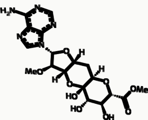 COC(=O)[C@H]1O[C@@H]2C[C@H]3O[C@@H](n4cnc5c(N)ncnc54)[C@H](OC)[C@H]3O[C@@]2(O)[C@@H](O)[C@@H]1O